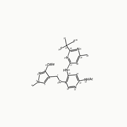 COc1nn(C)cc1COc1cnc(NC(C)=O)cc1Nc1cc(C)nc(C(C)(F)F)n1